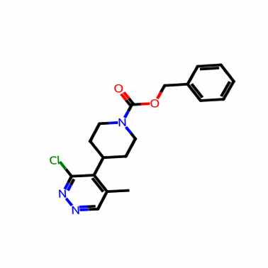 Cc1cnnc(Cl)c1C1CCN(C(=O)OCc2ccccc2)CC1